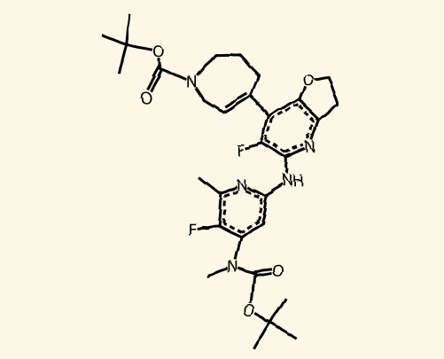 Cc1nc(Nc2nc3c(c(C4=CCN(C(=O)OC(C)(C)C)CCC4)c2F)OCC3)cc(N(C)C(=O)OC(C)(C)C)c1F